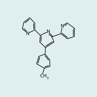 Cc1ccc(-c2cc(-c3ccccn3)nc(-c3ccccn3)c2)cc1